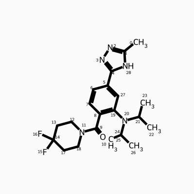 Cc1nnc(-c2ccc(C(=O)N3CCC(F)(F)CC3)c(N(C(C)C)C(C)C)c2)[nH]1